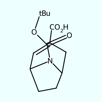 CC(C)(C)OC(=O)N1C2C=C(C(=O)O)CC1CC2